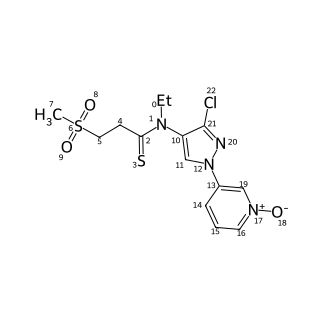 CCN(C(=S)CCS(C)(=O)=O)c1cn(-c2ccc[n+]([O-])c2)nc1Cl